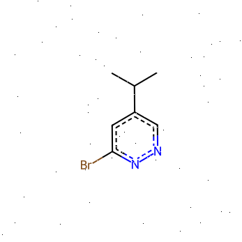 CC(C)c1cnnc(Br)c1